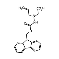 C=CC[C@H](CC(=O)O)NC(=O)OCC1c2ccccc2-c2ccccc21